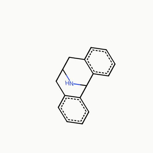 c1ccc2c(c1)CC1Cc3ccccc3C2N1